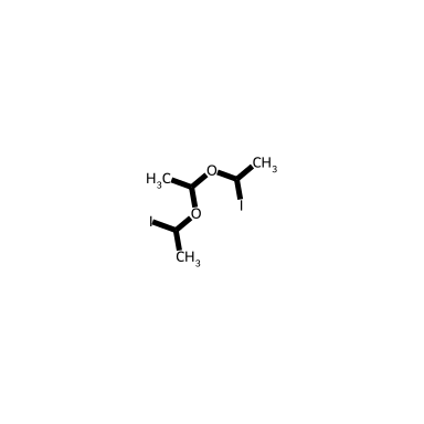 CC(I)OC(C)OC(C)I